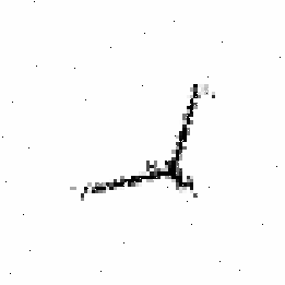 CC(=O)[O-].CCCCCCCCCCCCCCCCC=C[N+](C)(C)C=CCCCCCCCCCCCCCCCC